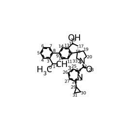 CC(C)c1ccccc1-c1ccc2c(c1)[C@H](O)C[C@@]21CCN(C(=O)c2cccc(C3CC3)n2)C1